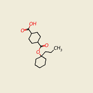 CCCC1(OC(=O)C2CCC(C(=O)O)CC2)CCCCC1